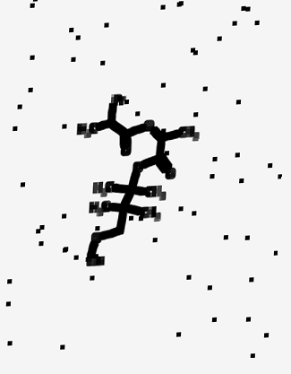 CC(OC(=O)C(C)C(C)C)C(=O)OC(C)(C)C(C)(C)COC(C)(C)C